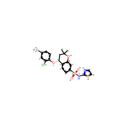 CC1(C)C[C@@H](Oc2ccc(C(F)(F)F)cc2Cl)c2ccc(S(=O)(=O)Nc3nccs3)cc2O1